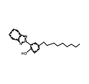 CCCCCCCCCc1ccc(O)c(-n2nc3ccccc3n2)c1